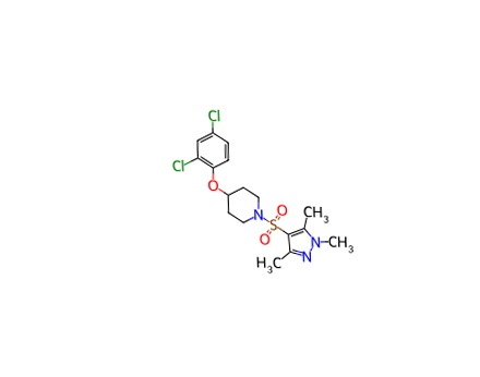 Cc1nn(C)c(C)c1S(=O)(=O)N1CCC(Oc2ccc(Cl)cc2Cl)CC1